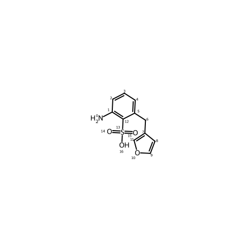 Nc1cccc(Cc2ccoc2)c1S(=O)(=O)O